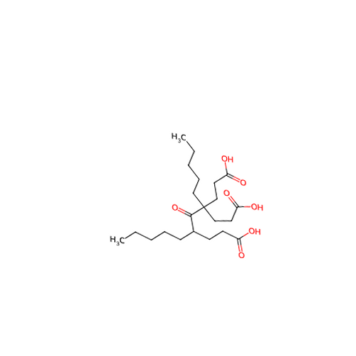 CCCCCC(CCC(=O)O)C(=O)C(CCCCC)(CCC(=O)O)CCC(=O)O